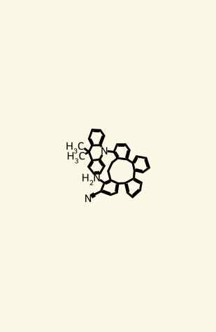 CC1(C)c2ccccc2N(c2cccc3c2CCc2c(ccc(C#N)c2N)-c2ccccc2-c2ccccc2-3)c2ccccc21